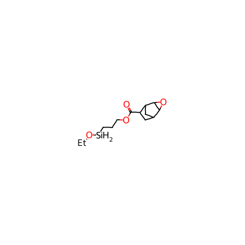 CCO[SiH2]CCCOC(=O)C1CC2CC1C1OC21